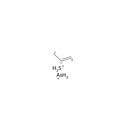 C=CC.S.[AsH3]